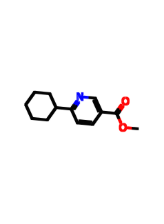 COC(=O)c1ccc(C2CCCCC2)nc1